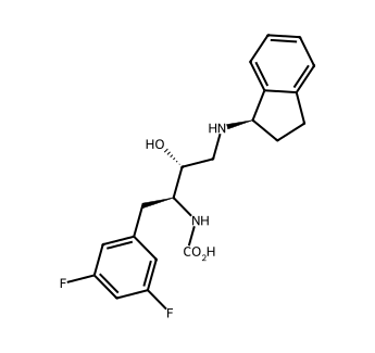 O=C(O)N[C@@H](Cc1cc(F)cc(F)c1)[C@H](O)CN[C@@H]1CCc2ccccc21